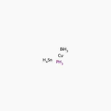 P.[BiH3].[Cu].[SnH4]